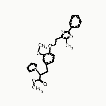 COC(=O)C(Cc1ccc(OCCc2nc(-c3ccccc3)oc2C)c(OC)c1)n1cccc1